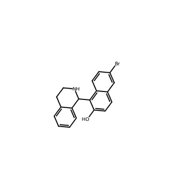 Oc1ccc2cc(Br)ccc2c1C1NCCc2ccccc21